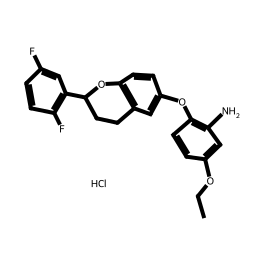 CCOc1ccc(Oc2ccc3c(c2)CCC(c2cc(F)ccc2F)O3)c(N)c1.Cl